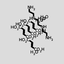 NCCNCCNCCN.O.O.O.O.O=C(O)C=CC(=O)O.O=C(O)C=CC(=O)O.O=C(O)C=CC(=O)O.O=C(O)C=CC(=O)O